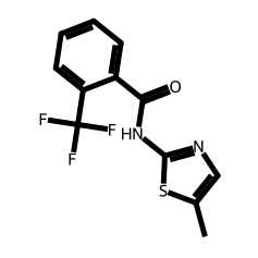 Cc1cnc(NC(=O)c2ccccc2C(F)(F)F)s1